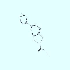 CC(C)(C)OC(=O)N1Cc2cnc(-c3nnn[nH]3)nc2C1